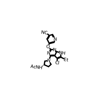 CCc1[nH]c2nc(Oc3cncc(C#N)c3)nc(N3CC[C@H](NC(C)=O)C3)c2c1Cl